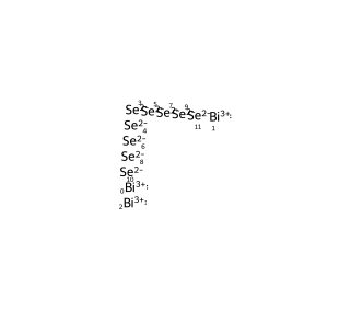 [Bi+3].[Bi+3].[Bi+3].[Se-2].[Se-2].[Se-2].[Se-2].[Se-2].[Se-2].[Se-2].[Se-2].[Se-2]